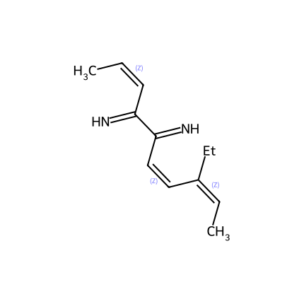 C/C=C\C(=N)C(=N)/C=C\C(=C/C)CC